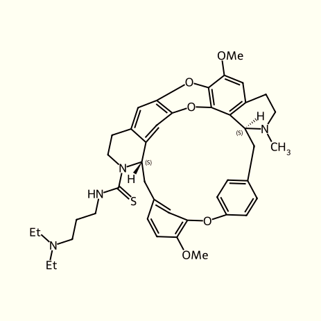 CCN(CC)CCCNC(=S)N1CCc2cc3c4cc2[C@@H]1Cc1ccc(OC)c(c1)Oc1ccc(cc1)C[C@H]1c2c(cc(OC)c(c2O4)O3)CCN1C